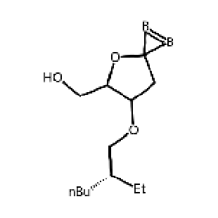 CCCC[C@@H](CC)COC1CC2(B=B2)OC1CO